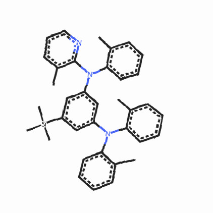 Cc1ccccc1N(c1cc(N(c2ccccc2C)c2ncccc2C)cc([Si](C)(C)C)c1)c1ccccc1C